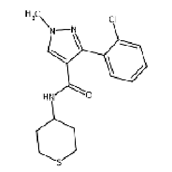 Cn1cc(C(=O)NC2CCSCC2)c(-c2ccccc2Cl)n1